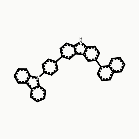 c1ccc2c(-c3ccc4[nH]c5ccc(-c6ccc(-n7c8ccccc8c8ccccc87)cc6)cc5c4c3)cccc2c1